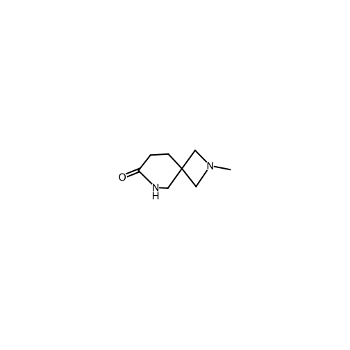 CN1CC2(CCC(=O)NC2)C1